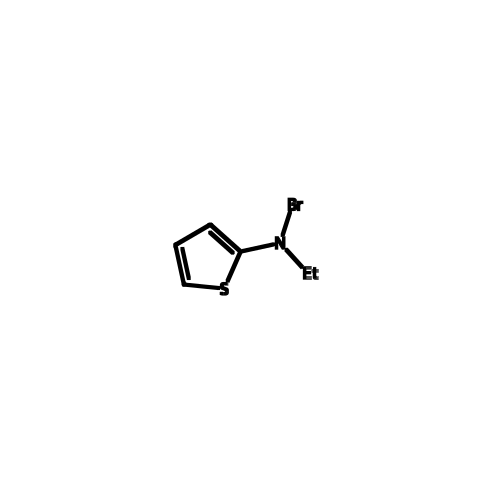 CCN(Br)c1cccs1